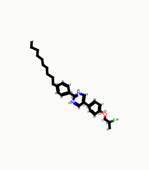 CCCCCCCCCCc1ccc(-c2ncc(-c3ccc(OCC(C)F)cc3)cn2)cc1